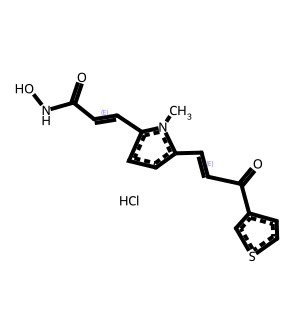 Cl.Cn1c(/C=C/C(=O)NO)ccc1/C=C/C(=O)c1ccsc1